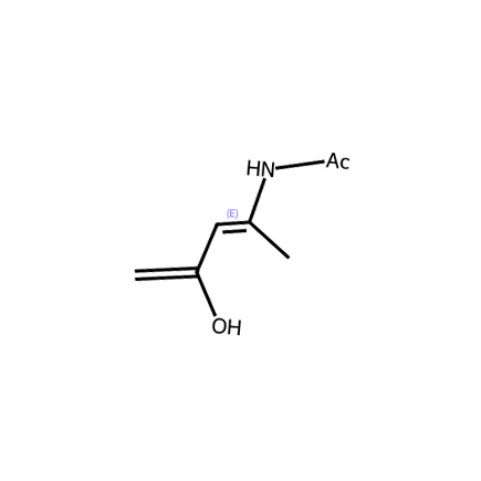 C=C(O)/C=C(\C)NC(C)=O